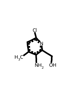 Cc1cc(Cl)nc(CO)c1N